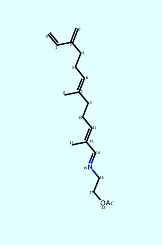 C=CC(=C)CC/C=C(\C)CC/C=C(C)/C=N/CCOC(C)=O